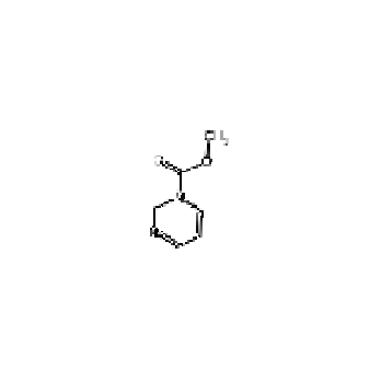 COC(=O)N1C=CC=NC1